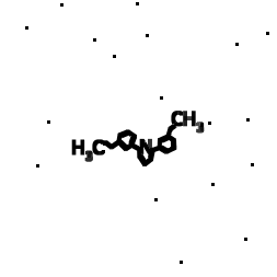 CCCc1cccc(-c2cccc(-c3cccc(CCC)c3)n2)c1